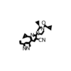 C=Cc1cc(-c2cc(C#N)c(N3CCN(C(=O)C4CC4)[C@H](C4CC4)C3)nc2C2CC2)cnn1